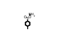 Cc1ccc(S(=O)ON)cc1